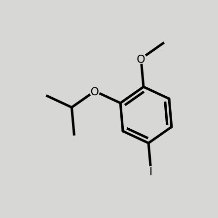 COc1ccc(I)cc1OC(C)C